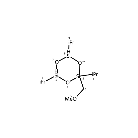 COC[Si]1(C(C)C)O[SiH](C(C)C)O[SiH](C(C)C)O1